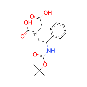 CC(C)(C)OC(=O)NC(C[C@@H](CC(=O)O)C(=O)O)c1ccccc1